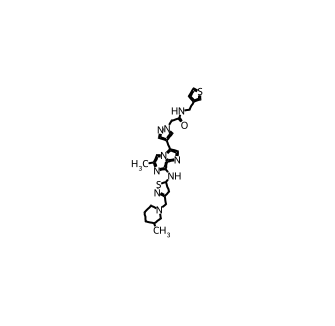 Cc1cn2c(-c3cnn(CC(=O)NCc4ccsc4)c3)cnc2c(NC2CC(CN3CCCC(C)C3)=NS2)n1